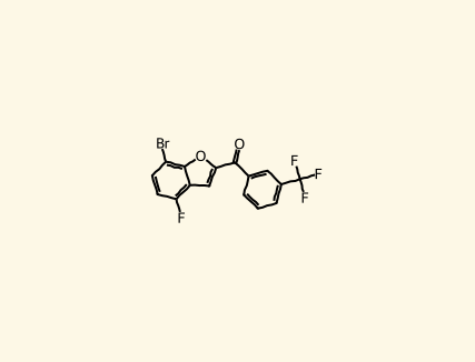 O=C(c1cccc(C(F)(F)F)c1)c1cc2c(F)ccc(Br)c2o1